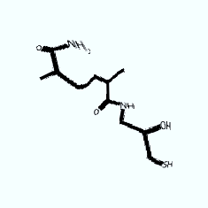 CC(CCC(C)C(=O)NCC(O)CS)C(N)=O